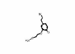 COCCOc1cc(CCBr)ccc1Cl